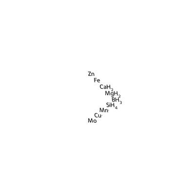 B.[CaH2].[Cu].[Fe].[MgH2].[Mn].[Mo].[SiH4].[Zn]